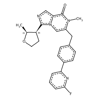 C[C@@H]1OCC[C@@H]1c1ncc2c(=O)n(C)c(Cc3ccc(-c4cccc(F)n4)cc3)cn12